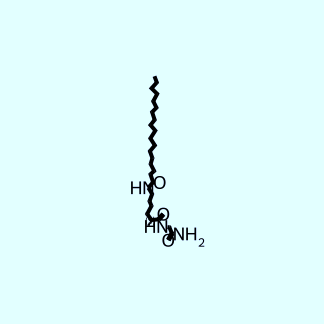 CCCCCCCCCCCCCCCCCC(=O)NCCCC[C@H](C)C(=O)NCC(N)=O